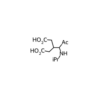 CC(=O)C(NC(C)C)C(CC(=O)O)CC(=O)O